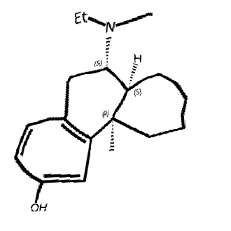 CCN(C)[C@H]1Cc2ccc(O)cc2[C@]2(C)CCCC[C@H]12